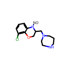 O=NN1c2cccc(Cl)c2OCC1CN1CCCNCC1